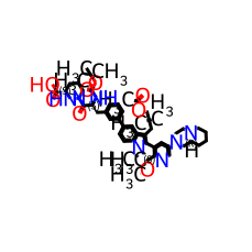 CCn1c(-c2cc(N3CCN4CCCC[C@@H]4C3)cnc2[C@H](C)OC)c(CC(C)(C)COC(C)=O)c2cc(-c3cccc(C[C@H](NC(=O)OC(C)(C)C)C(=O)N4CCC[C@@H](C(=O)O)N4)c3)ccc21